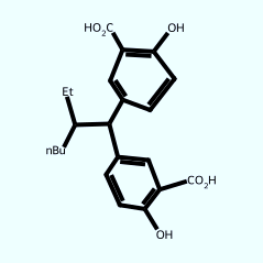 CCCCC(CC)C(c1ccc(O)c(C(=O)O)c1)c1ccc(O)c(C(=O)O)c1